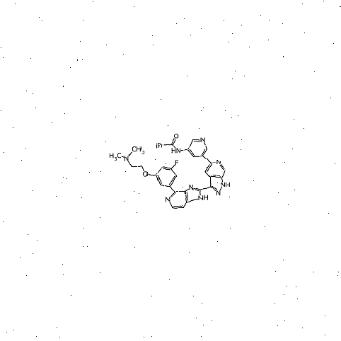 CC(C)C(=O)Nc1cncc(-c2cc3c(-c4nc5c(-c6cc(F)cc(OCCN(C)C)c6)nccc5[nH]4)n[nH]c3cn2)c1